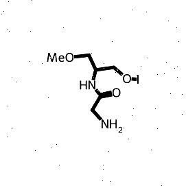 COCC(COI)NC(=O)CN